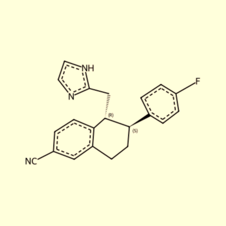 N#Cc1ccc2c(c1)CC[C@H](c1ccc(F)cc1)[C@H]2Cc1ncc[nH]1